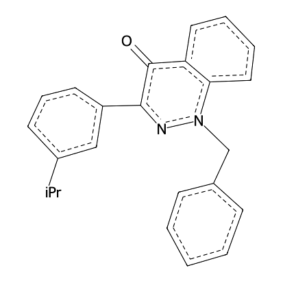 CC(C)c1cccc(-c2nn(Cc3ccccc3)c3ccccc3c2=O)c1